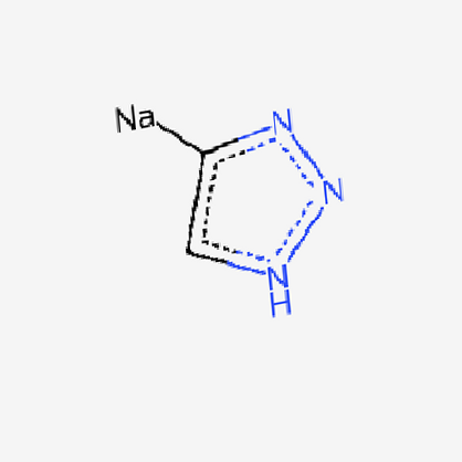 [Na][c]1c[nH]nn1